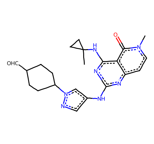 Cn1ccc2nc(Nc3cnn(C4CCC(C=O)CC4)c3)nc(NC3(C)CC3)c2c1=O